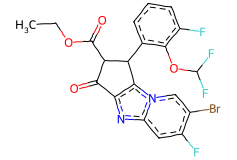 CCOC(=O)C1C(=O)c2nc3cc(F)c(Br)cn3c2C1c1cccc(F)c1OC(F)F